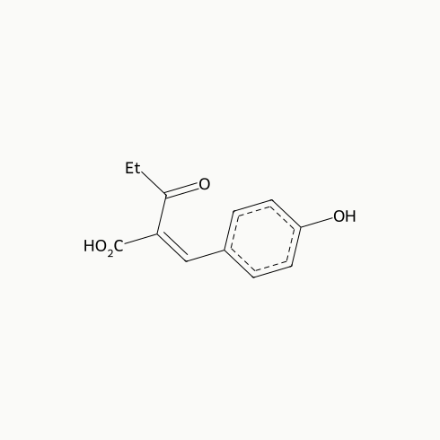 CCC(=O)C(=Cc1ccc(O)cc1)C(=O)O